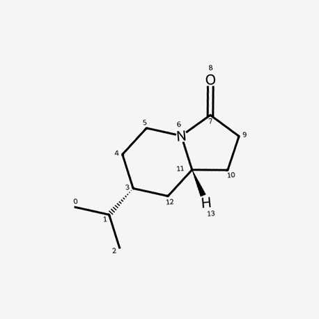 CC(C)[C@@H]1CCN2C(=O)CC[C@@H]2C1